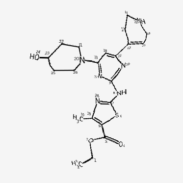 CCOC(=O)c1sc(Nc2nc(C3=CCNCC3)cc(N3CCC(O)CC3)n2)nc1C